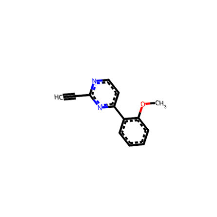 C#Cc1nccc(-c2ccccc2OC)n1